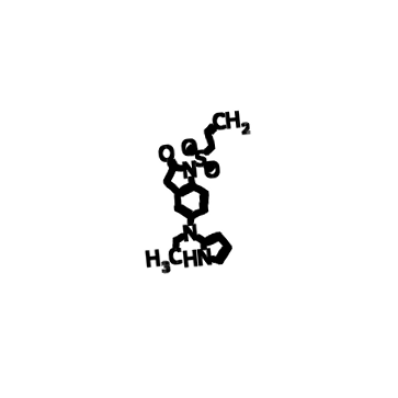 C=CCS(=O)(=O)N1C(=O)Cc2cc(N(CC)c3ccc[nH]3)ccc21